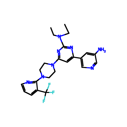 CCN(CC)c1nc(-c2cncc(N)c2)cc(N2CCN(c3ncccc3C(F)(F)F)CC2)n1